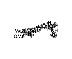 COC(=O)N[C@H](C(=O)N1CCC[C@H]1c1ncc(-c2ccc(-c3ccc(-c4cnc([C@H]5C6CCC(C6)[C@@H]5C(=O)NCc5cccnc5)[nH]4)cc3)nc2)[nH]1)[C@@H](C)OC